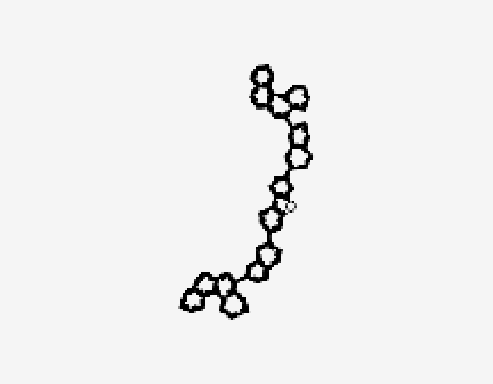 c1ccc2c(c1)ccc1cc(-c3ccc4ccc(-c5ccc6c(c5)oc5cc(-c7ccc8ccc(-c9cc%10ccc%11ccccc%11c%10c%10ccccc9%10)cc8c7)ccc56)cc4c3)c3ccccc3c12